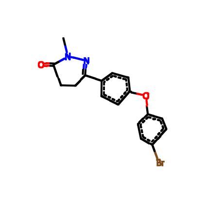 CN1N=C(c2ccc(Oc3ccc(Br)cc3)cc2)CCC1=O